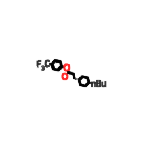 CCCC[C@H]1CC[C@H](CCC(=O)Oc2ccc(C(F)(F)F)cc2)CC1